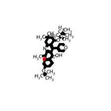 CC(C)c1nc2c(c(C3=CCOCC3)c1[C@H](O)c1ccc(OC(C)(C)C)cc1)C(O[Si](C)(C)C(C)(C)C)CC(C)(C)C2